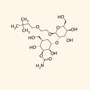 CC(C)(C)CCOCCO[C@H]1O[C@@H](CO)[C@@H](O)[C@H](O)[C@@H]1O[C@H]1C[C@H](CO)[C@@H](O)[C@H](OC(N)=O)[C@@H]1O